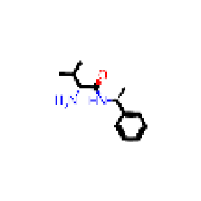 CC(C)[C@@H](N)C(=O)N[C@@H](C)c1ccccc1